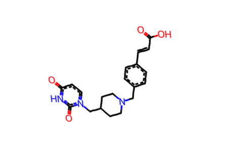 O=C(O)C=Cc1ccc(CN2CCC(Cn3ccc(=O)[nH]c3=O)CC2)cc1